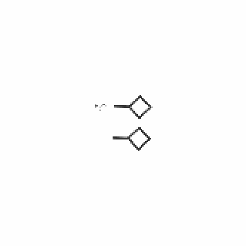 CC1CCC1.CC1CCC1.O